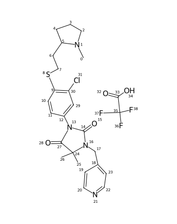 CN1CCCC1CCSc1ccc(N2C(=O)N(Cc3ccncc3)C(C)(C)C2=O)cc1Cl.O=C(O)C(F)(F)F